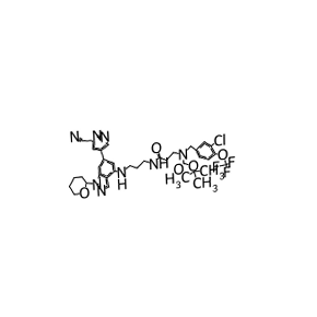 CC(C)(C)OC(=O)N(CCC(=O)NCCCNc1cc(-c2cnnc(C#N)c2)cc2c1cnn2C1CCCCO1)Cc1ccc(OC(F)(F)F)c(Cl)c1